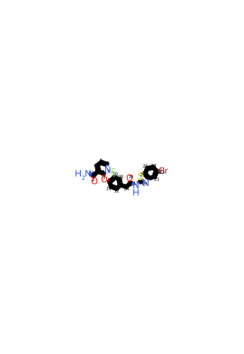 NC(=O)c1cccnc1Oc1ccc(CC(=O)Nc2nc3cc(Br)ccc3s2)cc1F